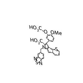 COc1ccc(-c2c(C(=O)O)n(Cc3ccc4nsnc4c3)c3cc4cccsc-4c23)cc1OCC(=O)O